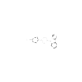 Oc1ccc(N2CCC(C3c4ccccc4-c4cncn43)CC2)cc1